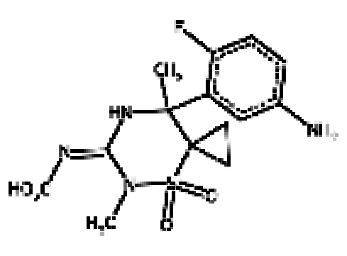 CN1/C(=N\C(=O)O)NC(C)(c2cc(N)ccc2F)C2(CC2)S1(=O)=O